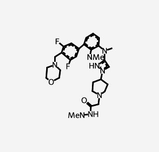 CNNC(=O)CN1CCC(n2cc(N(C)c3cccc(-c4cc(F)c(CN5CCOCC5)c(F)c4)c3NC)[nH]2)CC1